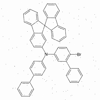 Brc1ccc(N(c2ccc(-c3ccccc3)cc2)c2ccc3c(c2)C2(c4ccccc4-c4ccccc42)c2ccccc2-3)cc1-c1ccccc1